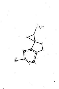 CCOC(=O)C1CC12CCc1ccc(Br)cc12